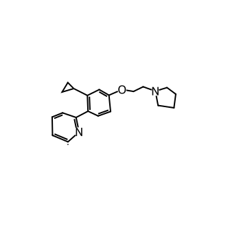 [c]1cccc(-c2ccc(OCCN3CCCC3)cc2C2CC2)n1